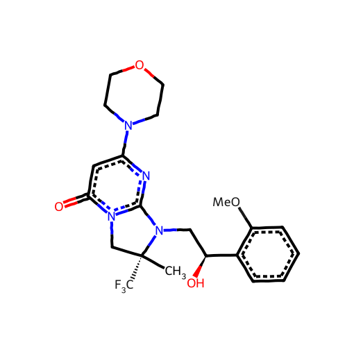 COc1ccccc1[C@@H](O)CN1c2nc(N3CCOCC3)cc(=O)n2C[C@@]1(C)C(F)(F)F